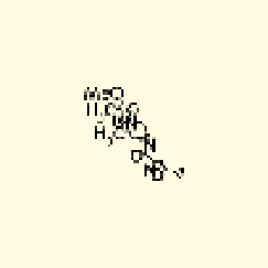 COCC(C)S(=O)(=O)N1CC[C@H](NC(=O)c2cc(C3CC3)on2)C[C@@H]1C